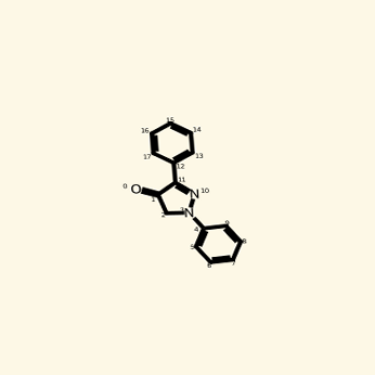 O=C1CN(c2ccccc2)N=C1c1ccccc1